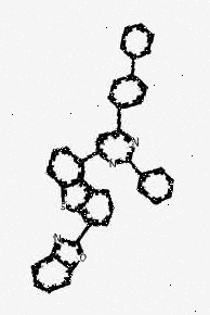 c1ccc(-c2ccc(-c3cc(-c4cccc5sc6c(-c7nc8ccccc8o7)cccc6c45)nc(-c4ccccc4)n3)cc2)cc1